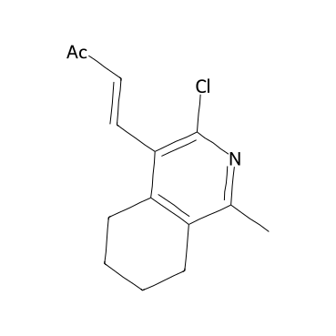 CC(=O)/C=C/c1c(Cl)nc(C)c2c1CCCC2